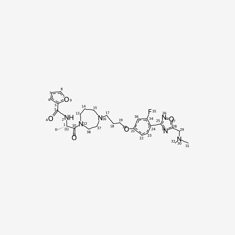 C[C@H](NC(=O)c1ccco1)C(=O)N1CCCN(CCCOc2ccc(-c3noc(CN(C)C)n3)c(F)c2)CC1